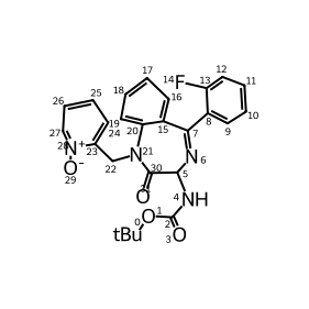 CC(C)(C)OC(=O)NC1N=C(c2ccccc2F)c2ccccc2N(Cc2cccc[n+]2[O-])C1=O